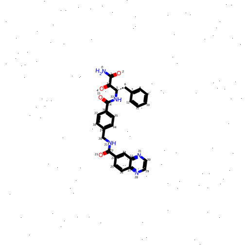 NC(=O)C(=O)[C@H](Cc1ccccc1)NC(=O)c1ccc(CNC(=O)c2ccc3nccnc3c2)cc1